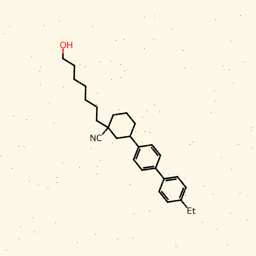 CCc1ccc(-c2ccc(C3CCCC(C#N)(CCCCCCCO)C3)cc2)cc1